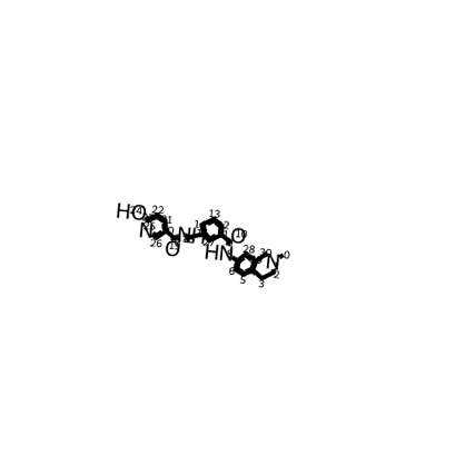 CN1CCc2ccc(NC(=O)c3cccc(CNC(=O)c4ccc(O)nc4)c3)cc2C1